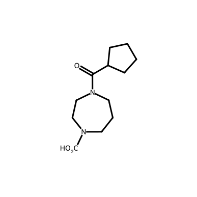 O=C(O)N1CCCN(C(=O)C2CCCC2)CC1